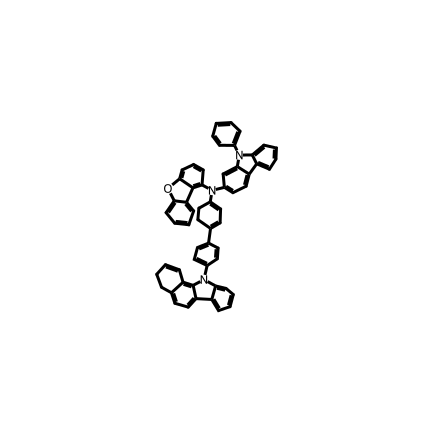 C1=Cc2c(ccc3c4ccccc4n(-c4ccc(C5=CC=C(N(c6ccc7c8ccccc8n(-c8ccccc8)c7c6)c6cccc7oc8ccccc8c67)CC5)cc4)c23)CC1